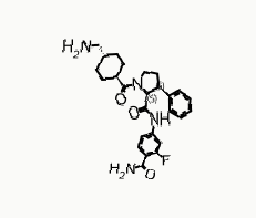 NC[C@H]1CC[C@H](C(=O)N2CC[C@@H](c3ccccc3)[C@H]2C(=O)Nc2ccc(C(N)=O)c(F)c2)CC1